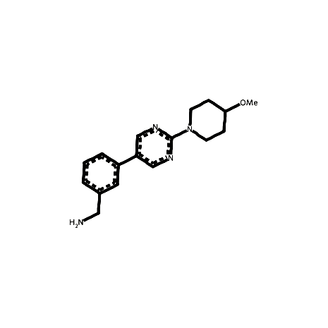 COC1CCN(c2ncc(-c3cccc(CN)c3)cn2)CC1